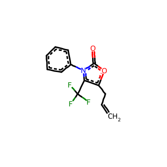 C=CCc1oc(=O)n(-c2ccccc2)c1C(F)(F)F